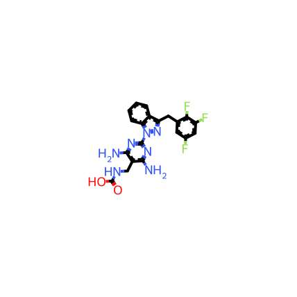 Nc1nc(-n2nc(Cc3cc(F)cc(F)c3F)c3ccccc32)nc(N)c1CNC(=O)O